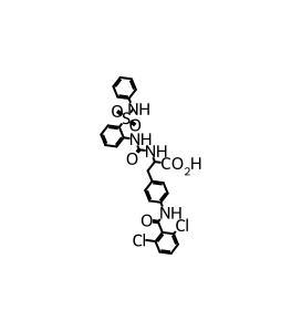 O=C(Nc1ccccc1S(=O)(=O)Nc1ccccc1)NC(Cc1ccc(NC(=O)c2c(Cl)cccc2Cl)cc1)C(=O)O